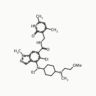 CCc1c(C(=O)NCc2c(C)cc(C)[nH]c2=O)cc2c(cnn2C)c1N(CC)C1CCC(N(C)CCOC)CC1